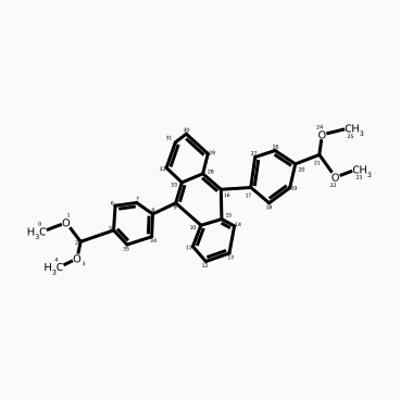 COC(OC)c1ccc(-c2c3ccccc3c(-c3ccc(C(OC)OC)cc3)c3ccccc23)cc1